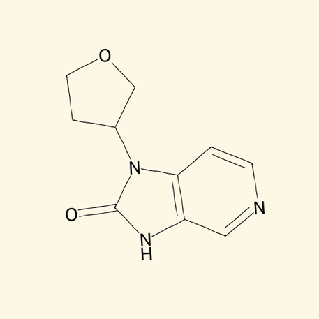 O=c1[nH]c2cnccc2n1C1CCOC1